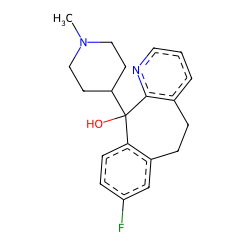 CN1CCC(C2(O)c3ccc(F)cc3CCc3cccnc32)CC1